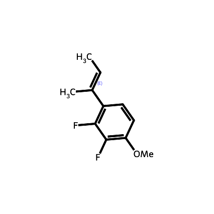 C/C=C(\C)c1ccc(OC)c(F)c1F